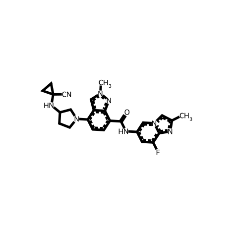 Cc1cn2cc(NC(=O)c3ccc(N4CCC(NC5(C#N)CC5)C4)c4cn(C)nc34)cc(F)c2n1